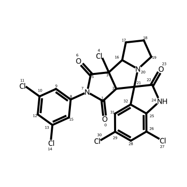 O=C1C2C(Cl)(C(=O)N1c1cc(Cl)cc(Cl)c1)C1CCCN1C21C(=O)Nc2c(Cl)cc(Cl)cc21